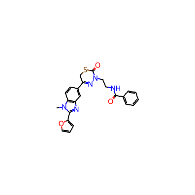 Cn1c(-c2ccco2)nc2cc(C3=NN(CCNC(=O)c4ccccc4)C(=O)SC3)ccc21